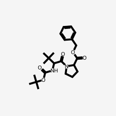 CC(C)(C)OC(=O)NC(C(=O)N1CCCC1C(=O)OCc1ccccc1)C(C)(C)C